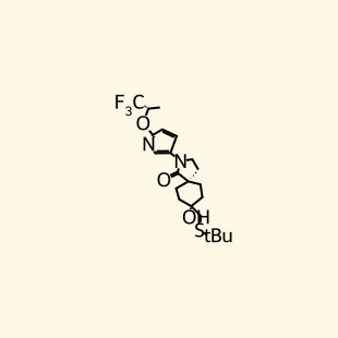 C[C@H](Oc1ccc(N2CC[C@]3(CC[C@](O)(CSC(C)(C)C)CC3)C2=O)cn1)C(F)(F)F